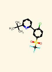 CC(C)(C)c1cccc(-c2cc(S(=O)(=O)C(F)(F)F)ccc2Cl)n1